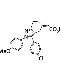 COc1ccc(-n2nc3c(c2-c2ccc(Cl)cc2)CC(=CC(=O)O)CC3)cc1